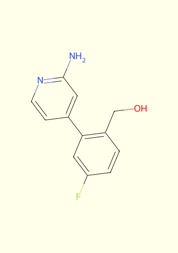 Nc1cc(-c2cc(F)ccc2CO)ccn1